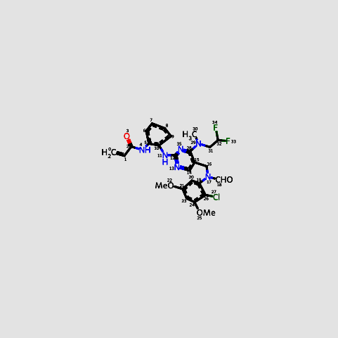 C=CC(=O)Nc1ccccc1Nc1ncc(CN(C=O)c2cc(OC)cc(OC)c2Cl)c(N(C)CC(F)F)n1